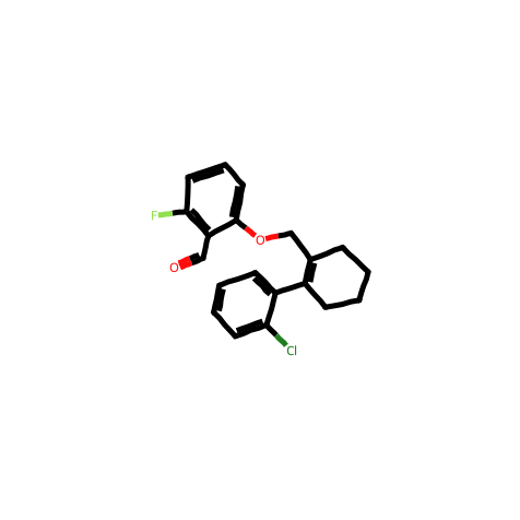 O=Cc1c(F)cccc1OCC1=C(c2ccccc2Cl)CCCC1